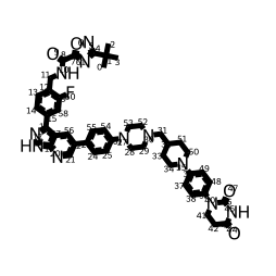 CC(C)(C)c1noc(C(=O)NCc2ccc(-c3n[nH]c4ncc(-c5ccc(N6CCN(CC7CCN(c8ccc(N9CCC(=O)NC9=O)cc8)CC7)CC6)cc5)cc34)cc2F)n1